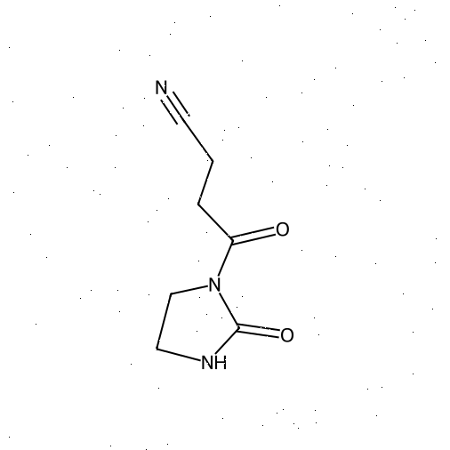 N#CCCC(=O)N1CCNC1=O